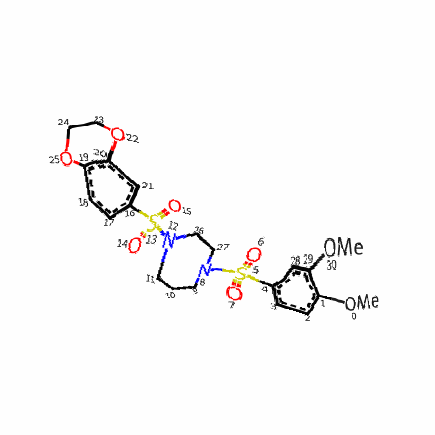 COc1ccc(S(=O)(=O)N2CCCN(S(=O)(=O)c3ccc4c(c3)OCCO4)CC2)cc1OC